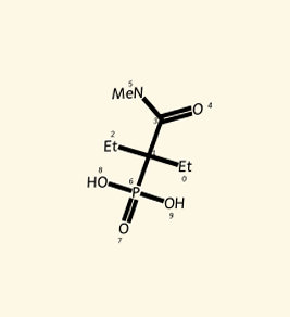 CCC(CC)(C(=O)NC)P(=O)(O)O